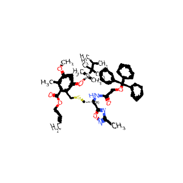 C=CCOC(=O)c1c(C)c(OC)cc(O[Si](C)(C)C(C)(C)C(C)C)c1CSC[C@H](NC(=O)COC(c1ccccc1)(c1ccccc1)c1ccccc1)c1nc(C)no1